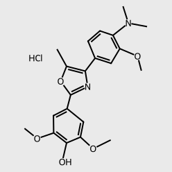 COc1cc(-c2nc(-c3cc(OC)c(O)c(OC)c3)oc2C)ccc1N(C)C.Cl